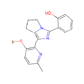 Cc1ccc(OBr)c(-c2nc(-c3ccccc3O)n3c2CCC3)n1